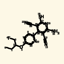 CCC(CF)Oc1ccc(-c2c(C#N)c(N)nc(S)c2C#N)nc1